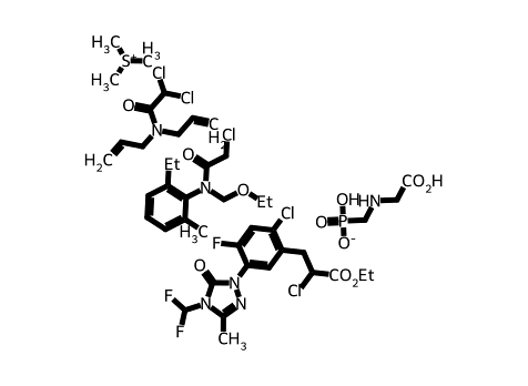 C=CCN(CC=C)C(=O)C(Cl)Cl.CCOC(=O)C(Cl)Cc1cc(-n2nc(C)n(C(F)F)c2=O)c(F)cc1Cl.CCOCN(C(=O)CCl)c1c(C)cccc1CC.C[S+](C)C.O=C(O)CNCP(=O)([O-])O